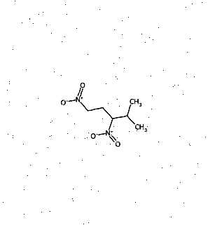 CC(C)C(CC[N+](=O)[O-])[N+](=O)[O-]